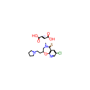 CN1CC(CCN2CCCC2)Oc2ncc(Cl)cc2C1=S.O=C(O)/C=C/C(=O)O